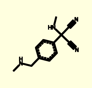 CNCc1ccc(C(C#N)(C#N)NC)cc1